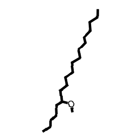 CCCCCCCCCCCCCC(CCCCC)OC